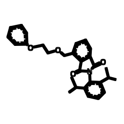 CC(C)c1cccc(C(C)C)c1N1C(=O)c2cccc(COCCOc3ccccc3)c2C1=O